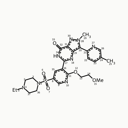 CCN1CCN(S(=O)(=O)c2cnc(OCCOC)c(-c3nc4c(-c5ccc(C)cn5)n(C)nc4c(=O)[nH]3)c2)CC1